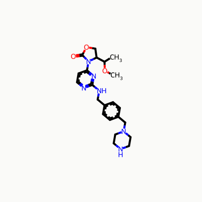 COC(C)C1COC(=O)N1c1ccnc(NCc2ccc(CN3CCNCC3)cc2)n1